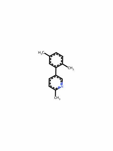 Cc1c[c]c(C)c(-c2ccc(C)nc2)c1